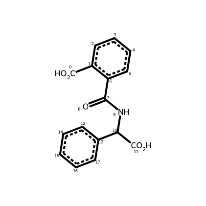 O=C(O)c1ccccc1C(=O)NC(C(=O)O)c1ccccc1